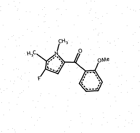 COc1ccccc1C(=O)c1cc(F)c(C)n1C